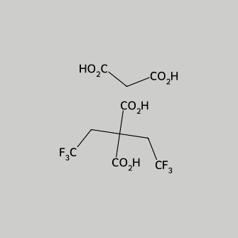 O=C(O)C(CC(F)(F)F)(CC(F)(F)F)C(=O)O.O=C(O)CC(=O)O